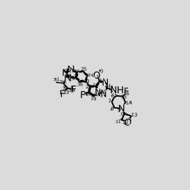 COc1nc(N[C@H]2CCN(C3COC3)C[C@@H]2F)nn2cc(F)c(-c3ccc4nnn([C@H](C)C(F)F)c4c3)c12